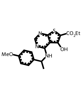 CCOC(=O)c1sc2ncnc(NC(C)c3ccc(OC)cc3)c2c1O